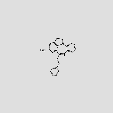 Cl.c1ccc(CCC2=Nc3ccccc3N3CCc4cccc2c43)cc1